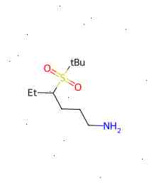 CCC(CCCN)S(=O)(=O)C(C)(C)C